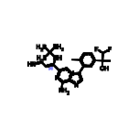 BC(B)(B)N/C(=C\C=N)c1cn2c(-c3cc(C(C)(O)C(F)F)ccc3C)cnc2c(N)n1